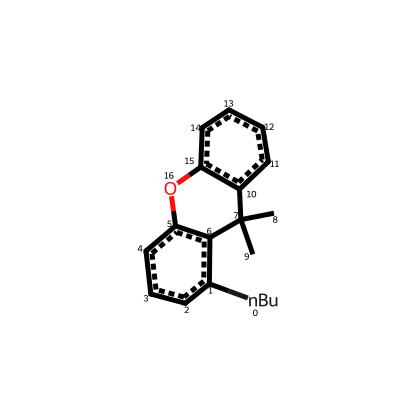 CCCCc1cccc2c1C(C)(C)c1ccccc1O2